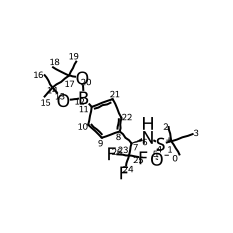 CC(C)(C)[S@+]([O-])N[C@H](c1ccc(B2OC(C)(C)C(C)(C)O2)cc1)C(F)(F)F